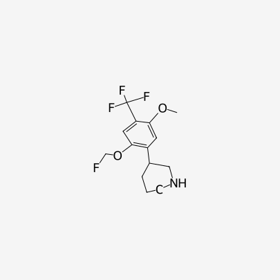 COc1cc(C2CCCNC2)c(OCF)cc1C(F)(F)F